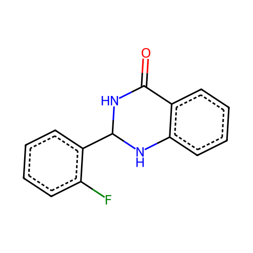 O=C1NC(c2ccccc2F)Nc2ccccc21